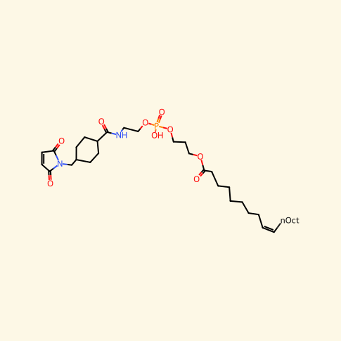 CCCCCCCC/C=C\CCCCCCCC(=O)OCCCOP(=O)(O)OCCNC(=O)C1CCC(CN2C(=O)C=CC2=O)CC1